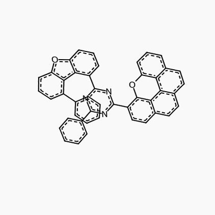 c1ccc(-c2nc(-c3ccc4ccc5ccc6cccc7c6c5c4c3O7)nc(-c3cccc4oc5cccc(-c6ccccc6)c5c34)n2)cc1